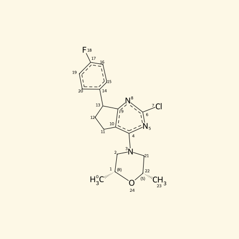 C[C@@H]1CN(c2nc(Cl)nc3c2CCC3c2ccc(F)cc2)C[C@H](C)O1